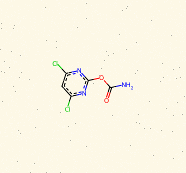 NC(=O)Oc1nc(Cl)cc(Cl)n1